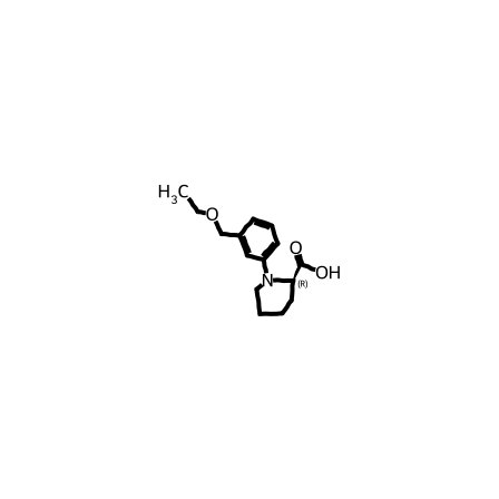 CCOCc1cccc(N2CCCC[C@@H]2C(=O)O)c1